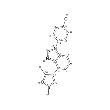 Cc1cc(-c2cccc3c2ncn3-c2ccc(O)cc2)c(C)o1